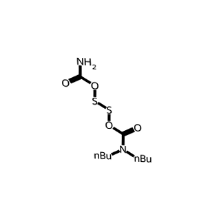 CCCCN(CCCC)C(=O)OSSOC(N)=O